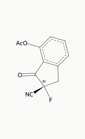 CC(=O)Oc1cccc2c1C(=O)[C@](F)(C#N)C2